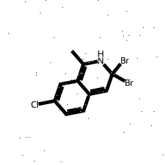 CC1=c2cc(Cl)ccc2=CC(Br)(Br)N1